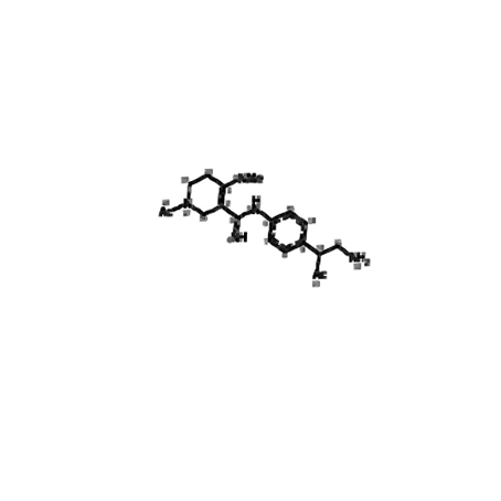 CNC1=C(C(=N)Nc2ccc(C(CN)C(C)=O)cc2)CN(C(C)=O)CC1